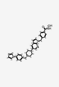 O=C(NO)c1ccc(Cn2ccc3cc(C4CCN(Cc5ccc(-n6ccnc6)cc5)CC4)cnc32)cc1